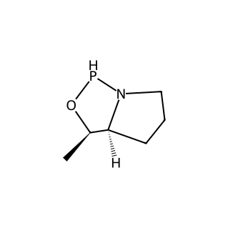 C[C@H]1OPN2CCC[C@@H]12